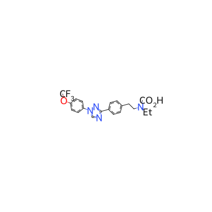 CCN(CCc1ccc(-c2ncn(-c3ccc(OC(F)(F)F)cc3)n2)cc1)C(=O)O